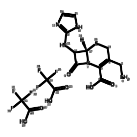 NCC1=C(C(=O)O)N2C(=O)C(Nc3ncc[nH]3)[C@@H]2SC1.O=C(O)C(F)(F)F.O=C(O)C(F)(F)F